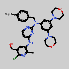 COc1ccc(CN(c2cc(N3CCOCC3)cc(N3CCOCC3)c2)c2nccc(Nc3cc(CO)c(Cl)nc3C)n2)cc1